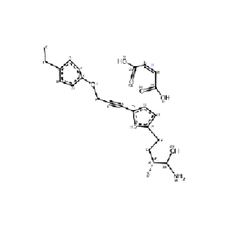 CCc1ccc(OCC#Cc2ccc(CC[C@@H](C)C(N)O)s2)cc1.O=C(O)/C=C\C(=O)O